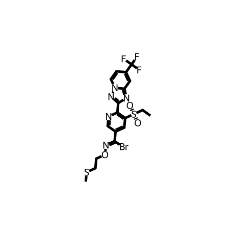 CCS(=O)(=O)c1cc(C(Br)=NOCCSC)cnc1-c1nc2cc(C(F)(F)F)ccn2n1